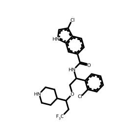 O=C(NC(COC(CC(F)(F)F)C1CCNCC1)c1ccccc1Cl)c1ccc2c(Cl)c[nH]c2c1